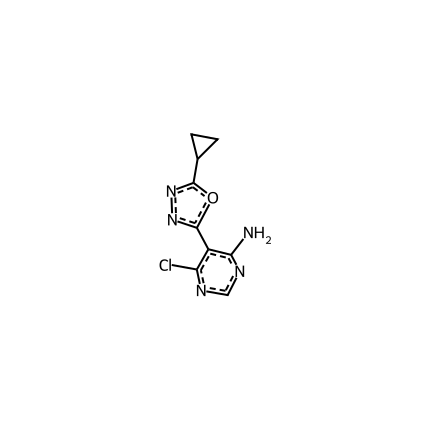 Nc1ncnc(Cl)c1-c1nnc(C2CC2)o1